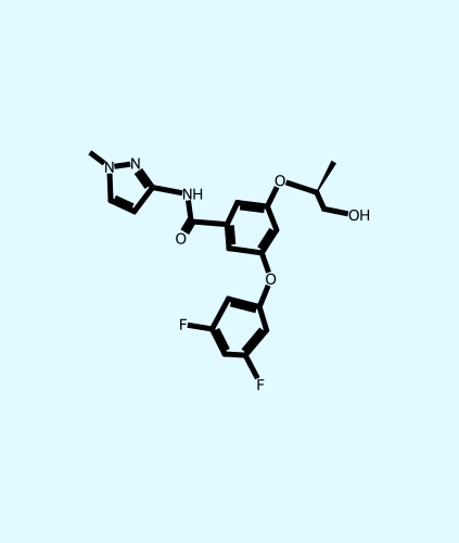 C[C@@H](CO)Oc1cc(Oc2cc(F)cc(F)c2)cc(C(=O)Nc2ccn(C)n2)c1